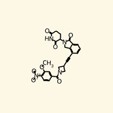 COc1cc(C(=O)N2CC(C#Cc3cccc4c3CN(C3CCC(=O)NC3=O)C4=O)C2)ccc1[N+](=O)[O-]